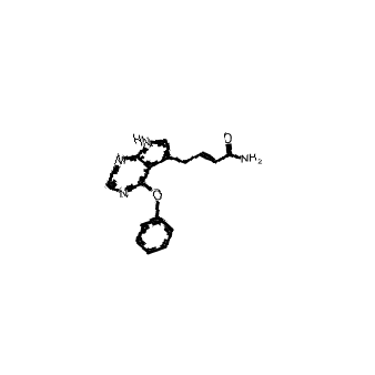 NC(=O)/C=C/Cc1c[nH]c2ncnc(Oc3ccccc3)c12